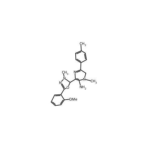 COc1ccccc1C1=NN(C)C(C2=C(N)N(C)CC(c3ccc(C)cc3)=N2)O1